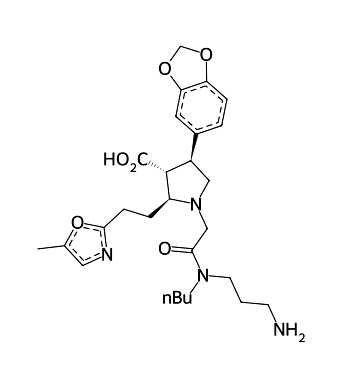 CCCCN(CCCN)C(=O)CN1C[C@H](c2ccc3c(c2)OCO3)[C@@H](C(=O)O)[C@@H]1CCc1ncc(C)o1